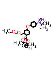 CCOCOCc1cc(Oc2ccc(N(P)C(C)C)cc2)ccc1B1OC(C)(C)C(C)(C)O1